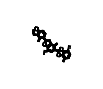 Cc1ccc(F)c2c1OC(c1cc(F)c3c(c1C)CC(c1ccc4c(c1C)CCO4)O3)O2